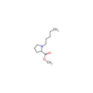 CCCCCN1CCCC1C(=O)OC